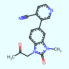 CC(=O)Cn1c(=O)n(C)c2cc(-c3cnccc3C#N)ccc21